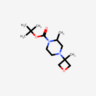 CC1CN(C2(C)COC2)CCN1C(=O)OC(C)(C)C